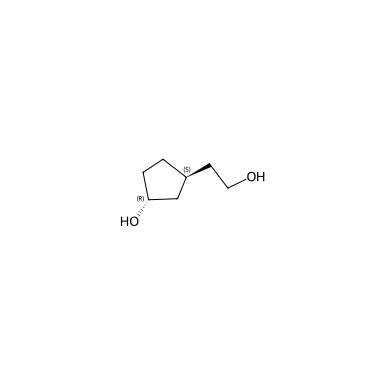 OCC[C@@H]1CC[C@@H](O)C1